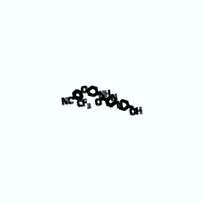 N#Cc1ccc(OC2CCC(NC(=O)c3ccc(N4CCC(CO)CC4)nc3)CC2)cc1C(F)(F)F